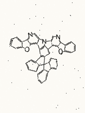 c1ccc2c(c1)-c1ccccc1C21c2ccccc2-c2c1cc1c3c4oc5ccccc5c4ncc3n3c4cnc5c6ccccc6oc5c4c2c13